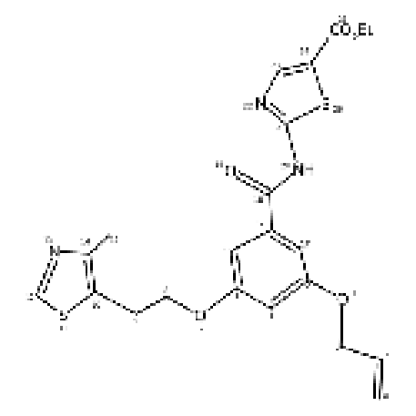 C=CCOc1cc(OCCc2scnc2C)cc(C(=O)Nc2ncc(C(=O)OCC)s2)c1